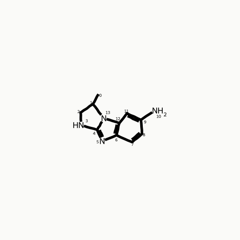 CC1CNc2nc3ccc(N)cc3n21